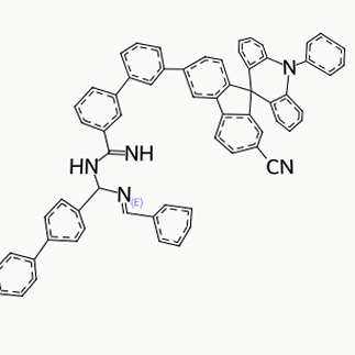 N#Cc1ccc2c(c1)C1(c3ccc(-c4cccc(-c5cccc(C(=N)NC(/N=C/c6ccccc6)c6ccc(-c7ccccc7)cc6)c5)c4)cc3-2)c2ccccc2N(c2ccccc2)c2ccccc21